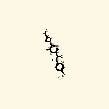 O=C(Nc1ccc(OC(F)(F)F)cc1)c1cnc(N2CC(CO)C2)c(Br)c1